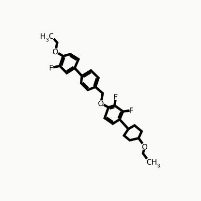 CCOc1ccc(-c2ccc(COc3ccc(C4CCC(OCC)CC4)c(F)c3F)cc2)cc1F